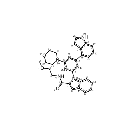 COCCNC(=O)c1cc2ccccc2n1-c1nc(-c2cccc3[nH]ccc23)nc(N2CCOCC2)n1